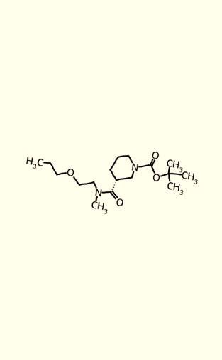 CCCOCCN(C)C(=O)[C@@H]1CCCN(C(=O)OC(C)(C)C)C1